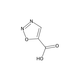 O=C(O)c1cnno1